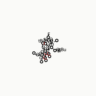 CC(C)(C)[Si](C)(C)Oc1cccc(-c2ccc([C@@H](Nc3ccccc3)[C@@H](CC[C@H](O[Si](C)(C)C(C)(C)C)c3ccc(F)cc3)C(=O)N3C(=O)OC[C@@H]3Cc3ccccc3)c(SC[C@@H]3OC(COCc4ccccc4)[C@@H](O[C@@H]4OC(COCc5ccccc5)[C@@H](OCc5ccccc5)[C@@H](OCc5ccccc5)C4OCc4ccccc4)[C@@H](OCc4ccccc4)C3OCc3ccccc3)c2)c1